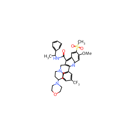 COc1cc2nc(-c3cccc(C(F)(F)F)c3)c(CN3CCC(N4CCOCC4)CC3)c(C(=O)NC(C)c3ccccc3)c2cc1S(C)(=O)=O